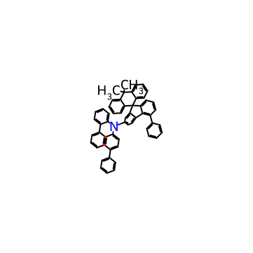 CC1(C)c2ccccc2C2(c3cc(N(c4ccc(-c5ccccc5)cc4)c4ccccc4-c4ccccc4)ccc3-c3c(-c4ccccc4)cccc32)c2ccccc21